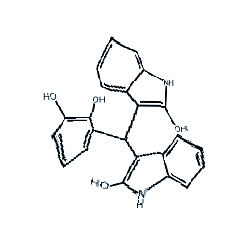 Oc1cccc(C(c2c(O)[nH]c3ccccc23)c2c(O)[nH]c3ccccc23)c1O